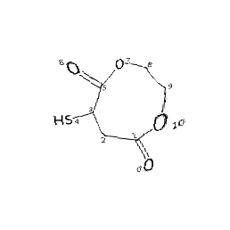 O=C1CC(S)C(=O)OCCO1